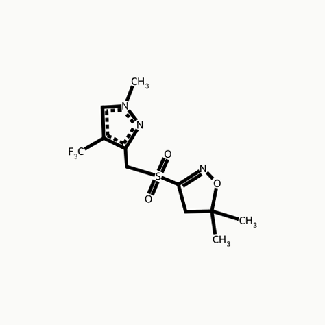 Cn1cc(C(F)(F)F)c(CS(=O)(=O)C2=NOC(C)(C)C2)n1